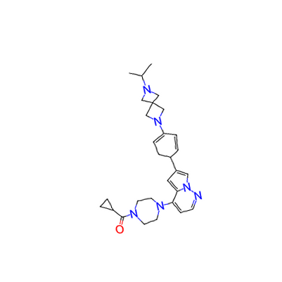 CC(C)N1CC2(CN(C3=CCC(c4cc5c(N6CCN(C(=O)C7CC7)CC6)ccnn5c4)C=C3)C2)C1